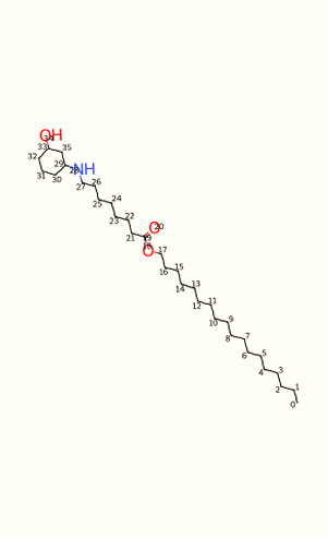 CCCCCCCCCCCCCCCCCCOC(=O)CCCCCCCNC1CCCC(O)C1